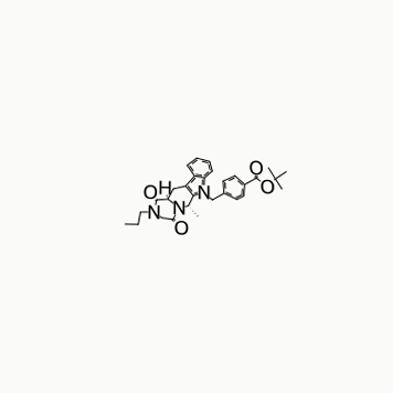 CCCN1CC(=O)N2[C@H](Cc3c(n(Cc4ccc(C(=O)OC(C)(C)C)cc4)c4ccccc34)[C@@H]2C)C1=O